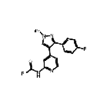 CC(C)C(=O)Nc1cc(-c2cn(C(C)C)nc2-c2ccc(F)cc2)ccn1